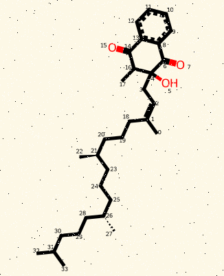 CC(=CCC1(O)C(=O)c2ccccc2C(=O)C1C)CCC[C@H](C)CCC[C@H](C)CCCC(C)C